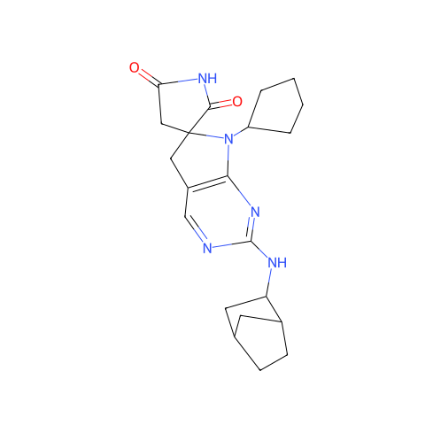 O=C1CC2(Cc3cnc(NC4CC5CCC4C5)nc3N2C2CCCC2)C(=O)N1